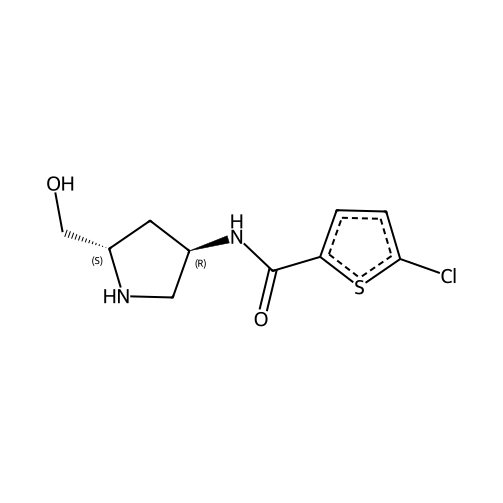 O=C(N[C@H]1CN[C@H](CO)C1)c1ccc(Cl)s1